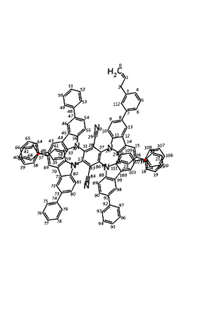 C=CCc1cccc(-c2ccc3c(c2)c2cc(-c4ccccc4)ccc2n3-c2c(C#N)c(-n3c4ccc(-c5ccccc5)cc4c4cc(-c5ccccc5)ccc43)c(-n3c4ccc(-c5ccccc5)cc4c4cc(-c5ccccc5)ccc43)c(C#N)c2-n2c3ccc(-c4ccccc4)cc3c3cc(-c4ccccc4)ccc32)c1